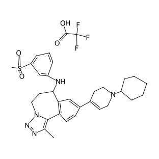 Cc1nnn2c1-c1ccc(C3=CCN(C4CCCCC4)CC3)cc1C(Nc1cccc(S(C)(=O)=O)c1)CC2.O=C(O)C(F)(F)F